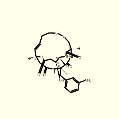 Cc1cccc(C[C@H]2NC(=O)C[C@H]3/C=C/CCSSC[C@@H](NC2=O)C(=O)N[C@H](C(C)C)[C@@H](O)CC(=O)O3)c1